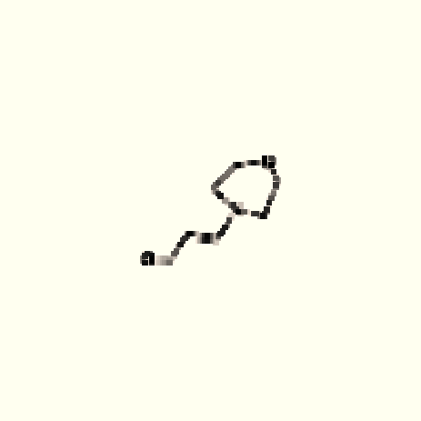 O=CC=CN1CCOCC1